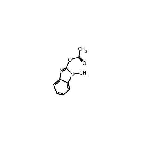 CC(=O)Oc1nc2ccccc2n1C